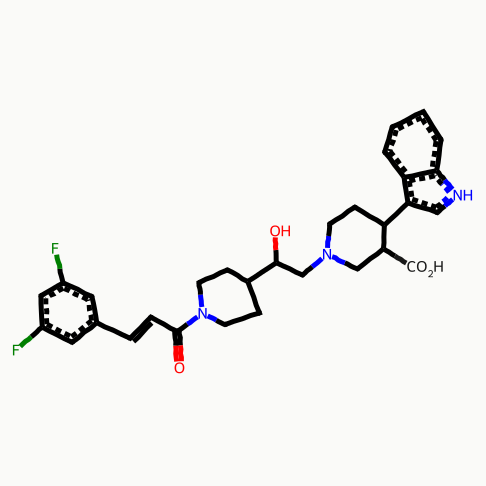 O=C(O)C1CN(CC(O)C2CCN(C(=O)/C=C/c3cc(F)cc(F)c3)CC2)CCC1c1c[nH]c2ccccc12